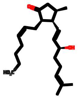 CC(C)=CCC[C@@H](O)/C=C/[C@H]1[C@H](C)CC(=O)[C@@H]1C/C=C\CCCC(=O)O